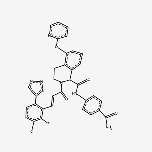 NC(=O)c1ccc(NC(=O)C2c3cccc(Oc4ccccn4)c3CCN2C(=O)C=Cc2c(-n3cnnn3)ccc(Cl)c2F)cc1